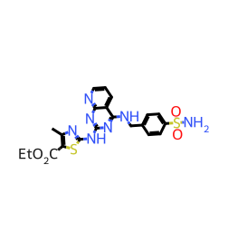 CCOC(=O)c1sc(Nc2nc(NCc3ccc(S(N)(=O)=O)cc3)c3cccnc3n2)nc1C